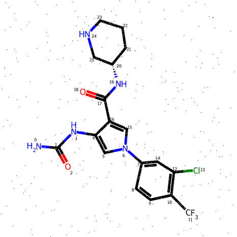 NC(=O)Nc1cn(-c2ccc(C(F)(F)F)c(Cl)c2)cc1C(=O)N[C@H]1CCCNC1